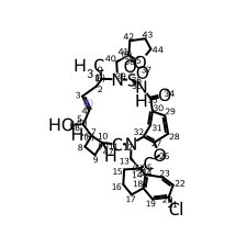 C[C@@H]1C/C=C/[C@H](O)[C@@H]2CC[C@H]2CN2C[C@@]3(CCCc4cc(Cl)ccc43)COc3ccc(cc32)C(=O)NS(=O)(=O)N1C[C@H]1CCCO1